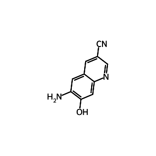 N#Cc1cnc2cc(O)c(N)cc2c1